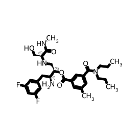 CCCN(CCC)C(=O)c1cc(C)cc(C(=O)O[C@H](CN[C@@H](CO)C(=O)NC)[C@@H](N)Cc2cc(F)cc(F)c2)c1